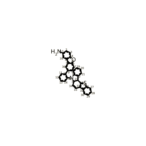 Nc1ccc2oc3ccc(-c4ccccc4N4c5ccccc5C5c6sc7ccccc7c6C=CC54)cc3c2c1